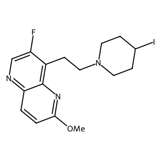 COc1ccc2ncc(F)c(CCN3CCC(I)CC3)c2n1